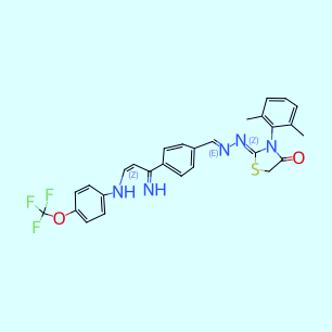 Cc1cccc(C)c1N1C(=O)CS/C1=N\N=C\c1ccc(C(=N)/C=C\Nc2ccc(OC(F)(F)F)cc2)cc1